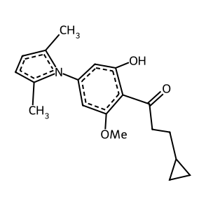 COc1cc(-n2c(C)ccc2C)cc(O)c1C(=O)CCC1CC1